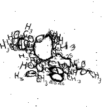 C=C1[C@@H](O[C@@H]2O[C@H](C)C[C@H](N(C)C)[C@H]2O)[C@](C)(O)C[C@@H](C)CN(CCCN(CCC(=O)OCC)C(=O)NC(C)c2cccc3ccccc23)[C@H](C)[C@@H](O)[C@](C)(O)[C@@H](I)OC(=O)[C@H](C)[C@H]1O[C@H]1C[C@@](C)(OC)[C@@H](O)[C@H](C)O1